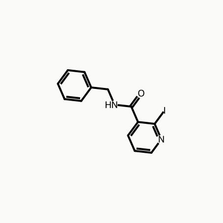 O=C(NCc1ccccc1)c1cccnc1I